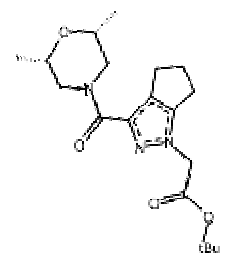 C[C@@H]1CN(C(=O)c2nn(CC(=O)OC(C)(C)C)c3c2CCC3)C[C@H](C)O1